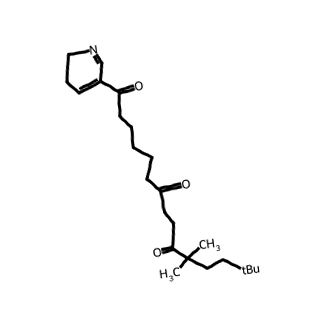 CC(C)(C)CCC(C)(C)C(=O)CCC(=O)CCCCCC(=O)C1=CCCN=C1